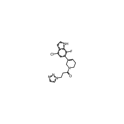 O=C(CCn1ccnn1)N1CCC=C(c2cc(Cl)c3cc[nH]c3c2F)C1